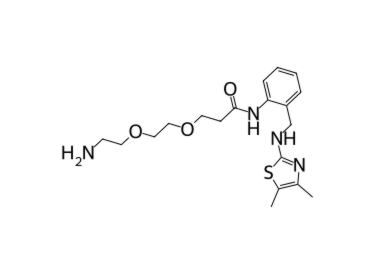 Cc1nc(NCc2ccccc2NC(=O)CCOCCOCCN)sc1C